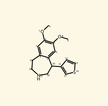 COc1cc2c(cc1OC)C(c1ccsc1)CNCC2